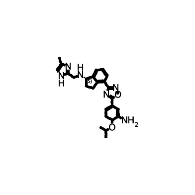 Cc1c[nH]c(CN[C@H]2CCc3c(-c4noc(C5=CCC(OC(C)C)C(N)=C5)n4)cccc32)n1